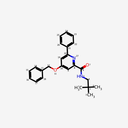 CC(C)(C)CNC(=O)c1cc(OCc2ccccc2)cc(-c2ccccc2)n1